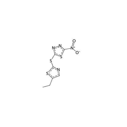 CCc1cnc(Sc2nnc([N+](=O)[O-])s2)s1